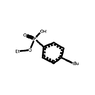 CCOP(=O)(O)c1ccc(C(C)(C)C)cc1